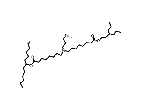 CCCCCCC(CCCCCC)OC(=O)CCCCCCCN(CCCN)CCCCCCCC(=O)OCCC(CCC)CCC